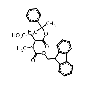 CN(C(=O)OCC1c2ccccc2-c2ccccc21)C(CC(=O)O)C(=O)OC(C)(C)c1ccccc1